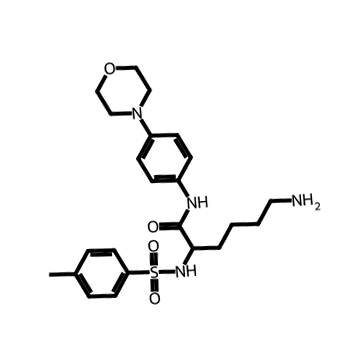 Cc1ccc(S(=O)(=O)NC(CCCCN)C(=O)Nc2ccc(N3CCOCC3)cc2)cc1